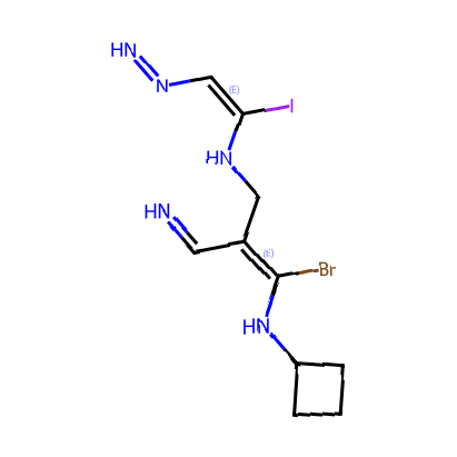 N=C/C(CN/C(I)=C\N=N)=C(/Br)NC1CCC1